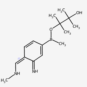 CN/C=C1/C=CC(B(C)OC(C)(C)C(C)(C)O)=CC1=N